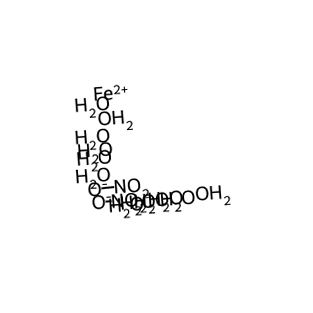 O.O.O.O.O.O.O.O.O.O.O.O.O=[N+]([O-])[O-].O=[N+]([O-])[O-].[Fe+2]